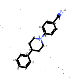 N#Cc1ccc(N2CCC(c3ccccc3)CC2)cc1